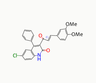 COc1ccc(/C=C/C(=O)c2c(-c3ccccc3)c3cc(Cl)ccc3[nH]c2=O)cc1OC